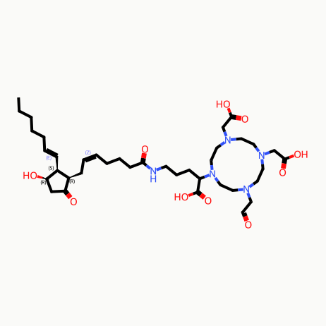 CCCCC/C=C/[C@@H]1[C@H](O)CC(=O)[C@@H]1C/C=C\CCCC(=O)NCCCC(C(=O)O)N1CCN(CC=O)CCN(CC(=O)O)CCN(CC(=O)O)CC1